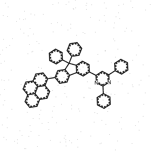 c1ccc(-c2cc(-c3ccc4c(c3)-c3ccc(-c5ccc6ccc7cccc8ccc5c6c78)cc3C4(c3ccccc3)c3ccccc3)nc(-c3ccccc3)n2)cc1